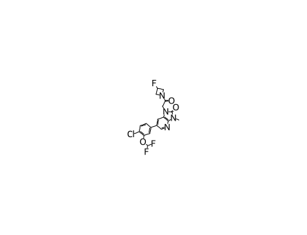 Cn1c(=O)n(CC(=O)N2CC(F)C2)c2cc(-c3ccc(Cl)c(OC(F)F)c3)cnc21